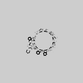 CC[C@H](C)[C@@H]1NC(=O)[C@H](C)N(C)C(=O)[C@H](CC(C)C)N(C)C(=O)CCN(C)C(=O)C[C@@H](C(=O)N(C)[C@@H](Cc2ccccc2)C(=O)N[C@@H](C)C(=O)N2CCCCC2)NC(=O)[C@H](CC(C)C)N(C)C(=O)[C@H](Cc2ccccc2)N(C)C(=O)[C@H](Cc2ccccc2)N(C)C(=O)[C@H](C)N(C)C(=O)[C@H]([C@@H](C)O)NC(=O)[C@H](CC(C)C)N(C)C1=O